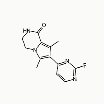 Cc1c(-c2ccnc(F)n2)c(C)n2c1C(=O)NCC2